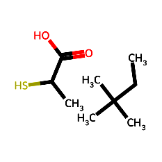 CC(S)C(=O)O.CCC(C)(C)C